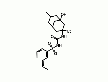 C\C=C/C=C(\C=C/C)S(=O)(=O)NC(=O)NC1(CC)CC2CC(C)CC(O)(C2)C1